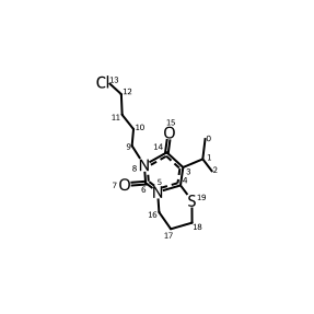 CC(C)c1c2n(c(=O)n(CCCCCl)c1=O)CCCS2